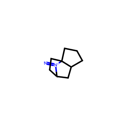 [N-]=[N+]1[C]2CCC13CCCC3C2